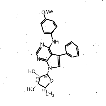 COc1ccc(Nc2ncnc3c2c(-c2ccccc2)cn3[C@@H]2O[C@H](C)[C@H](O)[C@@H]2O)cc1